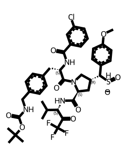 COc1ccc(C([C@@H]2C[C@@H](C(=O)N[C@H](C(=O)C(F)(F)F)C(C)C)N(C(=O)[C@H](Cc3ccc(CNC(=O)OC(C)(C)C)cc3)NC(=O)c3cccc(Cl)c3)C2)[SH](=O)=O)cc1